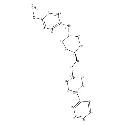 COc1cnc(N[C@H]2CC[C@H](CCN3CCN(c4ccccc4)CC3)CC2)nc1